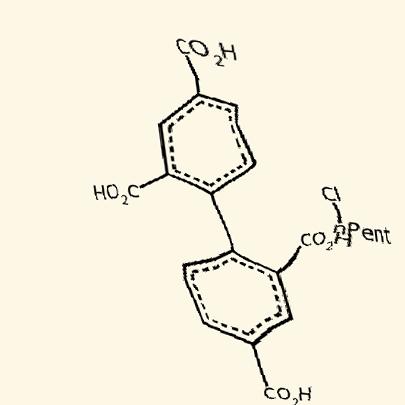 CCCCCCl.O=C(O)c1ccc(-c2ccc(C(=O)O)cc2C(=O)O)c(C(=O)O)c1